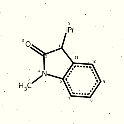 CC(C)C1C(=O)N(C)c2ccccc21